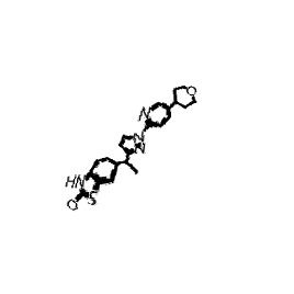 CC(c1ccc2[nH]c(=O)sc2c1)c1ccn(-c2ccc(C3CCOCC3)cn2)n1